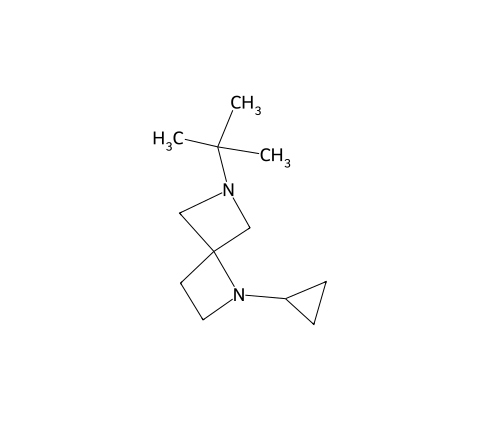 CC(C)(C)N1CC2(CCN2C2CC2)C1